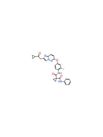 O=C(Cc1cn2nc(Oc3ccc(NC(=O)C4(C(=O)Nc5ccccc5)CC4)c(F)c3)ccc2n1)C1CC1